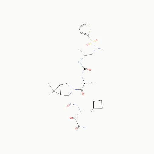 CCN(C[C@@H](NC(=O)N[C@H](C(=O)N1C[C@H]2[C@@H]([C@H]1C(=O)N[C@H](CC1CCC1)C(=O)C(N)=O)C2(C)C)C(C)(C)C)C(C)(C)C)S(=O)(=O)c1cccs1